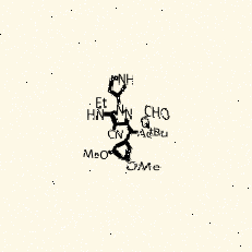 CC(C)(C)OC=O.CCNc1c(C#N)c(C(C(C)=O)c2cc(OC)cc(OC)c2)nn1C1CCNC1